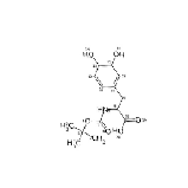 CC(C)(C)OC(=O)NC(Cc1ccc(O)c(O)c1)C(=O)O